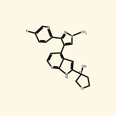 Cn1cc(-c2ccnc3[nH]c([C@]4(O)CCOC4)cc23)c(-c2ccc(F)cn2)n1